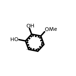 COc1cc[c]c(O)c1O